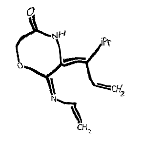 C=C/N=C1/OCC(=O)N/C1=C(/C=C)C(C)C